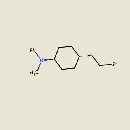 CCN(C)[C@H]1CC[C@H](CCC(C)C)CC1